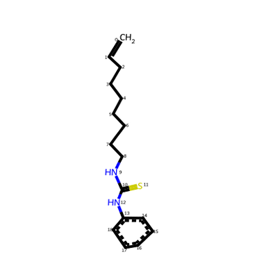 C=CCCCCCCCNC(=S)Nc1ccccc1